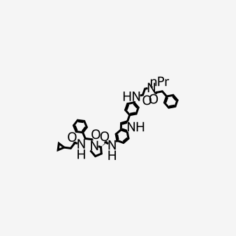 CCCN(CC(=O)Nc1ccc(-c2cc3cc(NC(=O)[C@@H]4CCCN4C(=O)[C@H](NC(=O)CC4CC4)c4ccccc4)ccc3[nH]2)cc1)C(=O)Cc1ccccc1